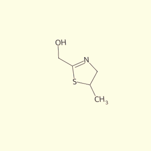 CC1CN=C(CO)S1